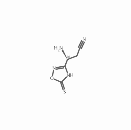 N#CC[C@H](N)c1noc(=S)[nH]1